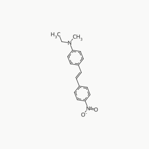 CCN(C)c1ccc(C=Cc2ccc([N+](=O)[O-])cc2)cc1